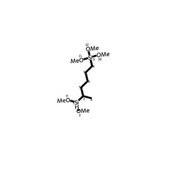 CO[SiH](OC)C(C)CCCC[Si](OC)(OC)OC